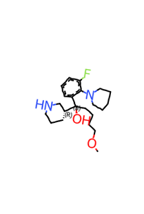 COCCCC[C@@](O)(c1cccc(F)c1N1CCCCC1)[C@@H]1CCCNC1